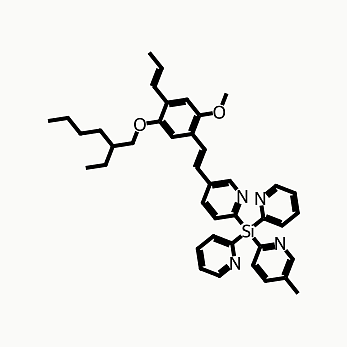 CC=Cc1cc(OC)c(C=Cc2ccc([Si](c3ccccn3)(c3ccccn3)c3ccc(C)cn3)nc2)cc1OCC(CC)CCCC